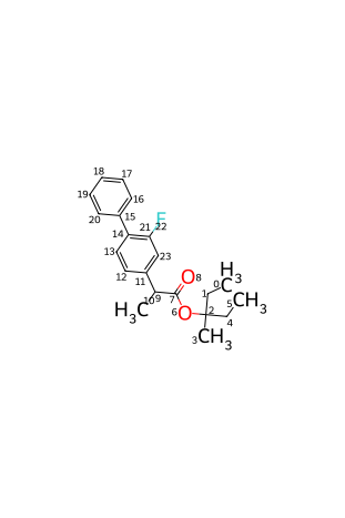 CCC(C)(CC)OC(=O)C(C)c1ccc(-c2ccccc2)c(F)c1